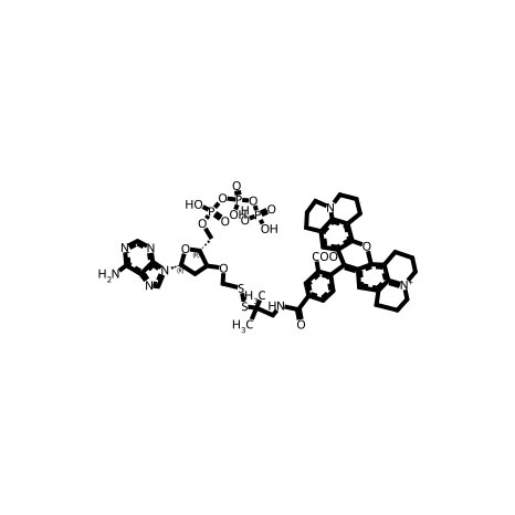 CC(C)(CNC(=O)c1ccc(C2=c3cc4c5c(c3Oc3c2cc2c6c3CCCN6CCC2)CCC[N+]=5CCC4)c(C(=O)[O-])c1)SSCOC1C[C@H](n2cnc3c(N)ncnc32)O[C@@H]1COP(=O)(O)OP(=O)(O)OP(=O)(O)O